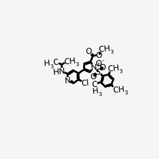 COC(=O)C1=CC(c2cc(NC(C)C)ncc2Cl)=C[N+]1([O-])S(=O)(=O)c1c(C)cc(C)cc1C